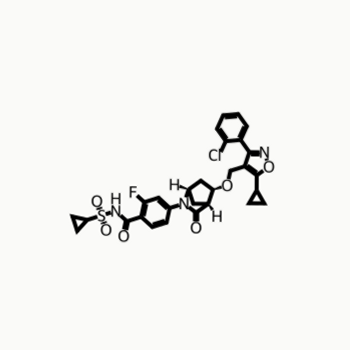 O=C(NS(=O)(=O)C1CC1)c1ccc(N2C(=O)[C@@H]3C[C@H]2C[C@H]3OCc2c(-c3ccccc3Cl)noc2C2CC2)cc1F